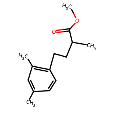 COC(=O)C(C)CCc1ccc(C)cc1C